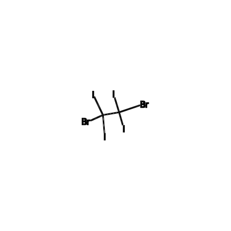 BrC(I)(I)C(Br)(I)I